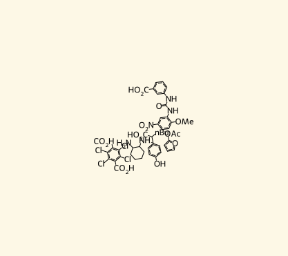 CC(=O)Oc1ccco1.CCCCC(C(=O)O)c1ccc(O)cc1.COc1ccc([N+](=O)[O-])cc1NC(=O)Nc1cccc(C(=O)O)c1.NC1CCCCC1N.O=C(O)c1c(Cl)c(Cl)c(C(=O)O)c(Cl)c1Cl